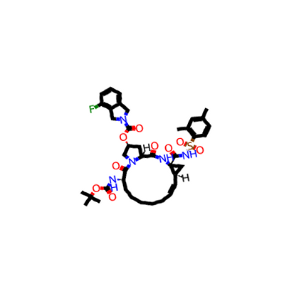 Cc1ccc(S(=O)(=O)NC(=O)[C@@]23C[C@H]2/C=C\CCCCC[C@H](NC(=O)OC(C)(C)C)C(=O)N2C[C@H](OC(=O)N4Cc5cccc(F)c5C4)C[C@H]2C(=O)N3)c(C)c1